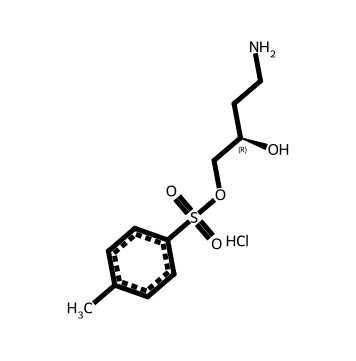 Cc1ccc(S(=O)(=O)OC[C@H](O)CCN)cc1.Cl